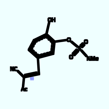 CNS(=O)(=O)Oc1cc(/C=C(\C#N)C(C)=O)ccc1O